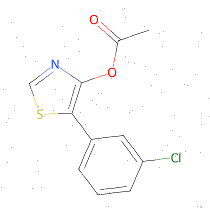 CC(=O)Oc1ncsc1-c1cccc(Cl)c1